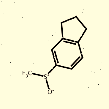 [O-][S+](c1ccc2c(c1)C[CH]C2)C(F)(F)F